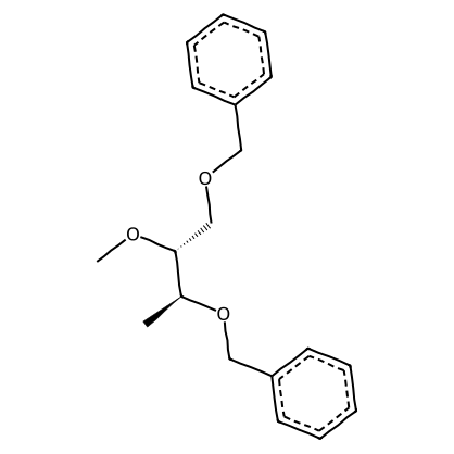 CO[C@H](COCc1ccccc1)[C@H](C)OCc1ccccc1